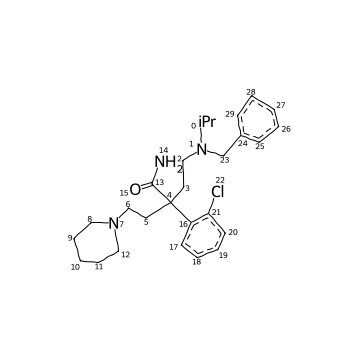 CC(C)N(CCC(CCN1CCCCC1)(C(N)=O)c1ccccc1Cl)Cc1ccccc1